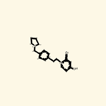 O=c1cc(O)ccn1CCc1ccc(CN2CCCC2)cc1